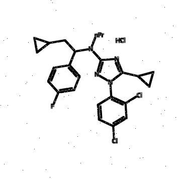 CCCN(c1nc(C2CC2)n(-c2ccc(Cl)cc2Cl)n1)C(CC1CC1)c1ccc(F)cc1.Cl